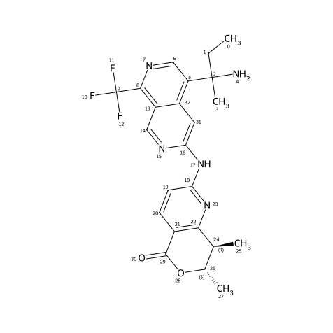 CCC(C)(N)c1cnc(C(F)(F)F)c2cnc(Nc3ccc4c(n3)[C@@H](C)[C@H](C)OC4=O)cc12